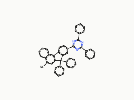 N#Cc1cc2c(c3ccccc13)-c1ccc(-c3nc(-c4ccccc4)nc(-c4ccccc4)n3)cc1C2(c1ccccc1)c1ccccc1